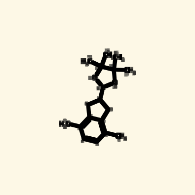 Cc1ccc(C)c2c1CC(B1OC(C)(C)C(C)(C)O1)C2